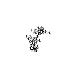 COc1ccc(C(C#N)(CCCN(C)CC(C)OC(=O)C(=Cc2cccc([N+](=O)[O-])c2)C(C)=O)C(C)C)cc1OC.Cl